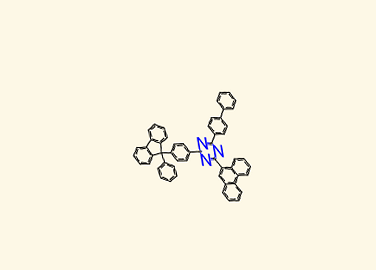 c1ccc(-c2ccc(-c3nc(-c4ccc(C5(c6ccccc6)c6ccccc6-c6ccccc65)cc4)nc(-c4cc5ccccc5c5ccccc45)n3)cc2)cc1